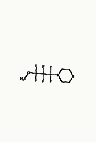 COC(F)(F)C(F)(F)C(F)(F)N1CCOCC1